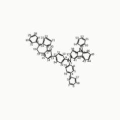 c1ccc(-c2ccc(N(c3ccc(-c4ccc5c(c4)-c4ccccc4C(c4ccccc4)CC5)cc3)c3ccc4c(c3)c3ccccc3n4-c3ccccc3)cc2)cc1